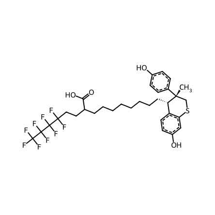 C[C@@]1(c2ccc(O)cc2)CSc2cc(O)ccc2[C@@H]1CCCCCCCCC(CCC(F)(F)C(F)(F)C(F)(F)C(F)(F)F)C(=O)O